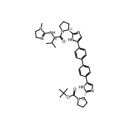 CC(C)[C@@H](NC1=NCCN1C)C(=O)N1CCC[C@H]1c1ncc(-c2ccc(-c3ccc(-c4cnc([C@@H]5CCCN5C(=O)OC(C)(C)C)[nH]4)cc3)cc2)[nH]1